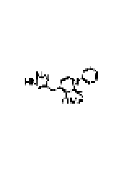 COc1c(Cc2c[nH]nn2)ccn(-c2ccccc2)c1=S